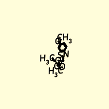 CCOP(=O)(Cc1nc2ccc(OC)cc2s1)OC